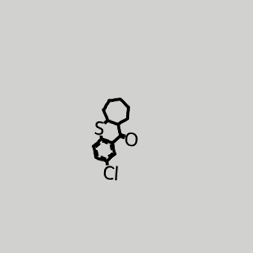 O=C1c2cc(Cl)ccc2SC2CCCCCC12